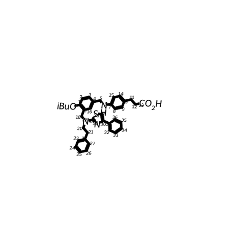 CC(C)COc1ccc(CNc2ccc(CCC(=O)O)cc2)cc1CN(CCc1ccccc1)c1nc(-c2ccccc2)cs1